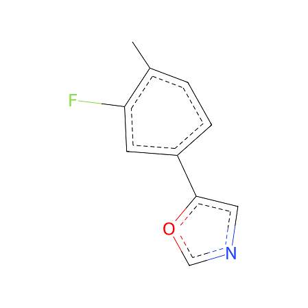 Cc1ccc(-c2cnco2)cc1F